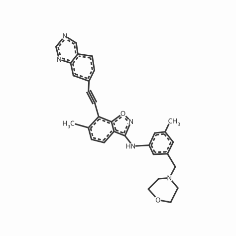 Cc1cc(CN2CCOCC2)cc(Nc2noc3c(C#Cc4ccc5cncnc5c4)c(C)ccc23)c1